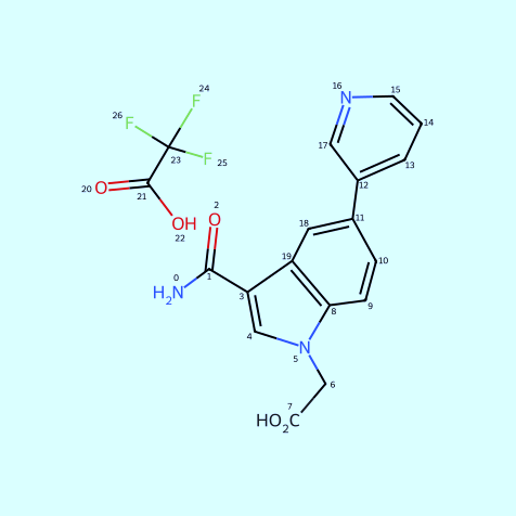 NC(=O)c1cn(CC(=O)O)c2ccc(-c3cccnc3)cc12.O=C(O)C(F)(F)F